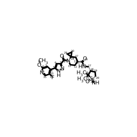 COc1cc(-c2cc(C(=O)N3CC[C@H](C(=O)NC[C@@H]4CC[S@](=N)(=O)C4(C)C)CC34CC4)n[nH]2)c(F)cn1